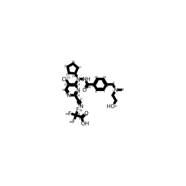 CN(CCO)Cc1ccc(C(=O)NN(c2nc(C#N)ncc2Cl)C2CCCC2)cc1.O=C(O)C(F)(F)F